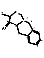 CC(C)C(=O)[C@@H]1Cc2ccccc2CN1C